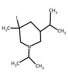 CC(C)C1CN(C(C)C)CC(C)(I)C1